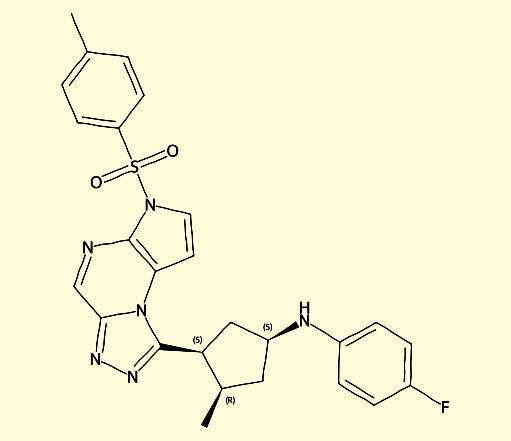 Cc1ccc(S(=O)(=O)n2ccc3c2ncc2nnc([C@H]4C[C@@H](Nc5ccc(F)cc5)C[C@H]4C)n23)cc1